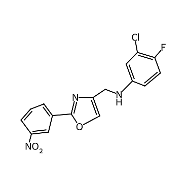 O=[N+]([O-])c1cccc(-c2nc(CNc3ccc(F)c(Cl)c3)co2)c1